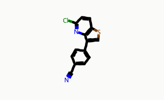 N#Cc1ccc(-c2csc3ccc(Cl)nc23)cc1